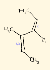 C/C=C(C)\C(Cl)=C/C